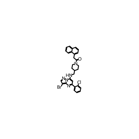 O=C(Cc1cccc2ccccc12)N1CCC(CNc2cc(-c3ccccc3Cl)nc3c(Br)cnn23)CC1